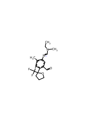 CCN(C)/C=N/c1cc(C=O)c(C2(C(F)(F)F)CCCO2)cc1C